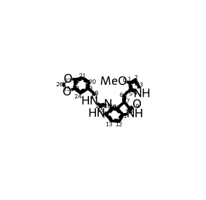 COc1cc[nH]c1C=C1C(=O)Nc2ccc3[nH]c(NCc4ccc5c(c4)OCO5)nc3c21